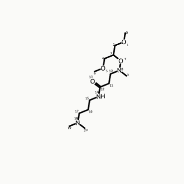 COCC(COC)ON(C)CCC(=O)NCCCN(C)C